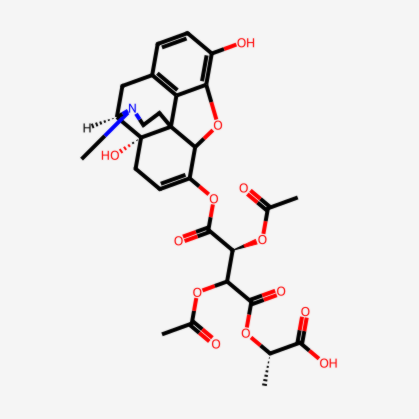 CC(=O)OC(C(=O)O[C@@H](C)C(=O)O)[C@H](OC(C)=O)C(=O)OC1=CC[C@@]2(O)[C@H]3Cc4ccc(O)c5c4C2(CCN3C)C1O5